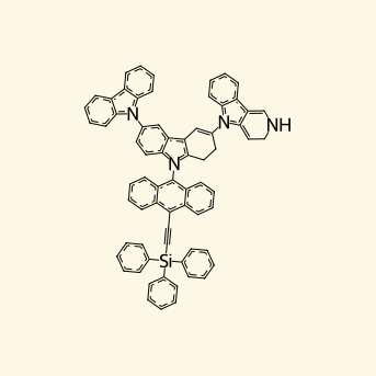 C(#C[Si](c1ccccc1)(c1ccccc1)c1ccccc1)c1c2ccccc2c(-n2c3c(c4cc(-n5c6ccccc6c6ccccc65)ccc42)C=C(n2c4c(c5ccccc52)=CNCC=4)CC3)c2ccccc12